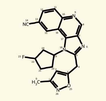 Cc1cc(Cc2nc3cnc4ccc(C#N)cc4c3n2C2CCC(F)C2)on1